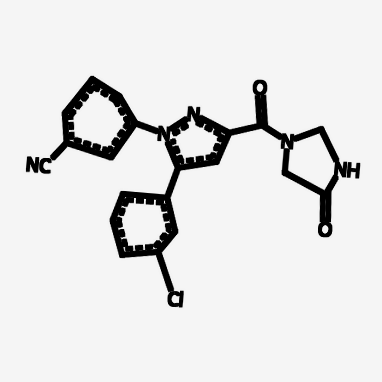 N#Cc1cccc(-n2nc(C(=O)N3CNC(=O)C3)cc2-c2cccc(Cl)c2)c1